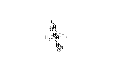 Cc1nc(CCCN(CC2CO2)C2CCO2)c(C)nc1CCCN(CC1CO1)CC1CO1